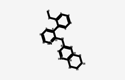 CCc1ccccc1-c1cccnc1Cc1cnc2c(c1)CCCC2